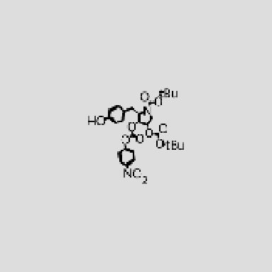 CC(C)(C)OC(=O)O[C@H]1CN(C(=O)OC(C)(C)C)[C@H](Cc2ccc(O)cc2)[C@@H]1OC(=O)Oc1ccc([N+](=O)[O-])cc1